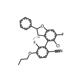 CCCOc1ccc(C#N)c(-c2c(Cl)c(F)cc3c2[C@H](C)C(c2ccccc2)O3)c1F